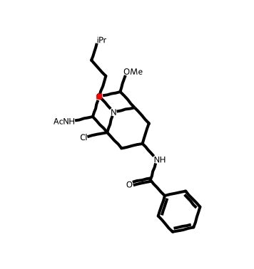 COC1OC(NC(C)=O)C2(Cl)CC(NC(=O)c3ccccc3)CC1N2CCCC(C)C